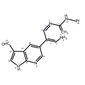 C=C(/N=C\C(=C/N)c1cnc2[nH]cc(C=O)c2c1)NC(C)C